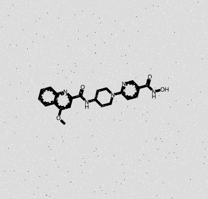 COc1cc(C(=O)NC2CCN(c3ccc(C(=O)NO)cn3)CC2)nc2ccccc12